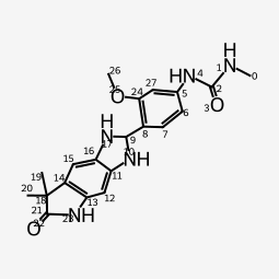 CNC(=O)Nc1ccc(C2Nc3cc4c(cc3N2)C(C)(C)C(=O)N4)c(OC)c1